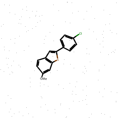 COc1ccc2cc(-c3ccc(Cl)cc3)sc2c1